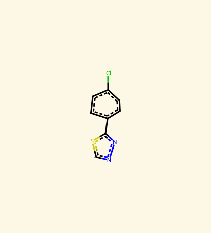 Clc1ccc(-c2nn[c]s2)cc1